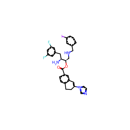 N[C@@H](Cc1cc(F)cc(F)c1)[C@@H](CNCc1cccc(I)c1)OC(=O)c1ccc2c(c1)C=C(n1ccnc1)CC2